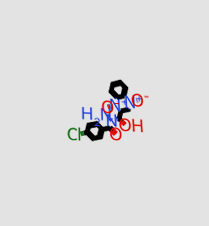 NN(C(=O)c1ccc(Cl)cc1)C(O)c1c[n+]([O-])c2ccccc2[n+]1[O-]